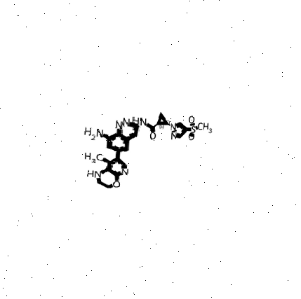 Cc1c(-c2cc(N)c3nnc(NC(=O)[C@H]4C[C@@H]4n4cc(S(C)(=O)=O)cn4)cc3c2)cnc2c1NCCO2